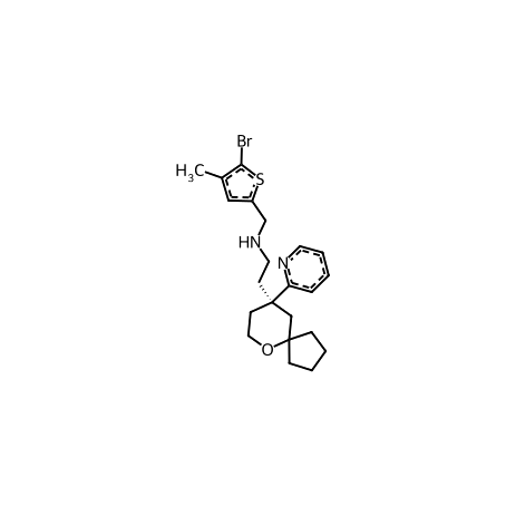 Cc1cc(CNCC[C@@]2(c3ccccn3)CCOC3(CCCC3)C2)sc1Br